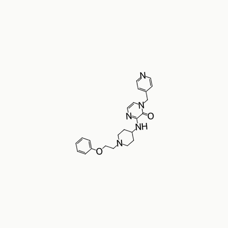 O=c1c(NC2CCN(CCOc3ccccc3)CC2)nccn1Cc1ccncc1